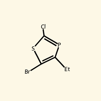 CCc1pc(Cl)sc1Br